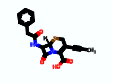 CC#CC1=C(C(=O)O)N2C(=O)C(NC(=O)Cc3ccccc3)[C@H]2SC1